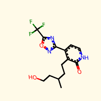 CC(CCO)CCc1c(-c2noc(C(F)(F)F)n2)cc[nH]c1=O